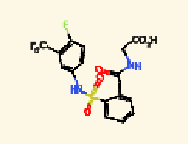 O=C(O)CNC(=O)c1ccccc1S(=O)(=O)Nc1ccc(F)c(C(F)(F)F)c1